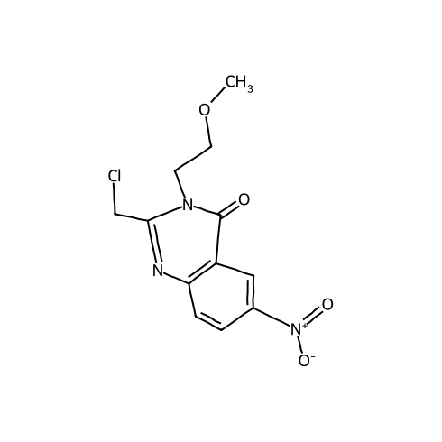 COCCn1c(CCl)nc2ccc([N+](=O)[O-])cc2c1=O